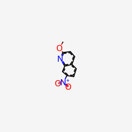 COc1ccc2ccc([N+](=O)[O-])cc2n1